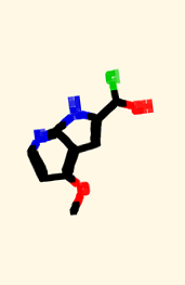 COc1ccnc2[nH]c(C(O)Cl)cc12